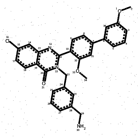 COc1cccc(-c2ccc(-c3nc4cc(Cl)ccc4c(=O)n3Cc3cccc(CN)c3)c(OC)c2)c1